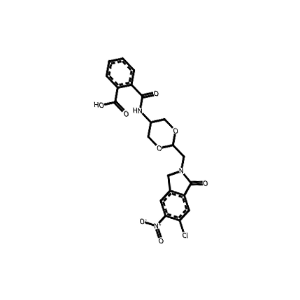 O=C(O)c1ccccc1C(=O)NC1COC(CN2Cc3cc([N+](=O)[O-])c(Cl)cc3C2=O)OC1